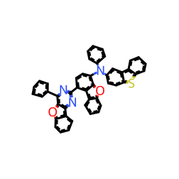 c1ccc(-c2nc(-c3ccc(N(c4ccccc4)c4ccc5sc6ccccc6c5c4)c4oc5ccccc5c34)nc3c2oc2ccccc23)cc1